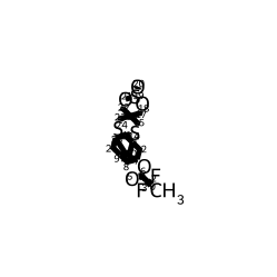 CC(F)(F)C(=O)OC12CC3CC(C1)C1(SCC4(COS(=O)OC4)CS1)C(C3)C2